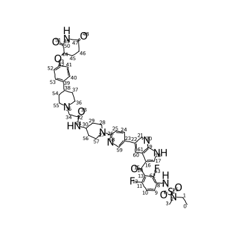 CCN(C)S(=O)(=O)Nc1ccc(F)c(C(=O)c2c[nH]c3ncc(-c4ccc(N5CCC(NC(=O)CN6CCC(c7ccc(OC8CCC(=O)NC8=O)cc7)CC6)CC5)nc4)cc23)c1F